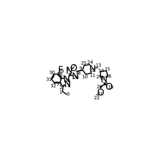 CCc1nn(-c2noc(C3CCN(C[C@@H]4CCN(C(=O)COC)C4)CC3)n2)c2c(F)cccc12